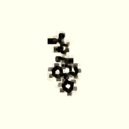 C[C@@H](NC(=O)[C@H]1CC[C@H](C(=O)O)N1)[C@@H]1C=CC=C1P(c1ccccc1)c1ccccc1